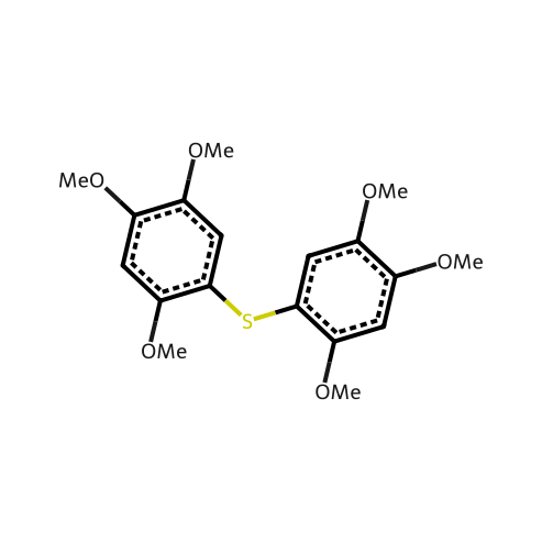 COc1cc(OC)c(Sc2cc(OC)c(OC)cc2OC)cc1OC